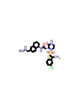 Cc1c(S(=O)(=O)N2CCNC(=O)[C@H]2CC(=O)N[C@@H]2CCCc3cc(CNC(C)(C)C)ccc32)sc2ccc(Cl)cc12